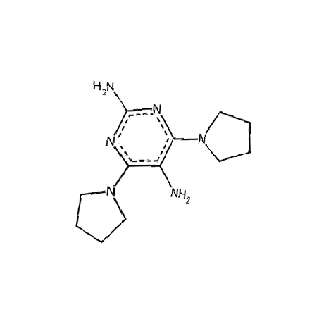 Nc1nc(N2CCCC2)c(N)c(N2CCCC2)n1